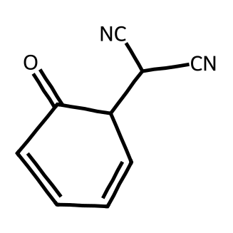 N#CC(C#N)C1C=CC=CC1=O